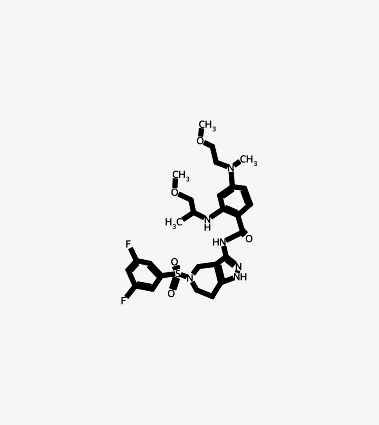 COCCN(C)c1ccc(C(=O)Nc2n[nH]c3c2CN(S(=O)(=O)c2cc(F)cc(F)c2)CC3)c(NC(C)COC)c1